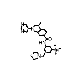 CC1CN(c2cncnc2)Cc2cc(C(=O)Nc3cc(CN4CCSCC4)cc(C(F)(F)F)c3)ccc21